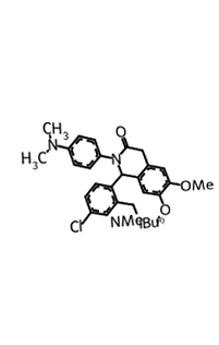 CC[C@@H](C)Oc1cc2c(cc1OC)CC(=O)N(c1ccc(N(C)C)cc1)C2c1ccc(Cl)cc1CNC